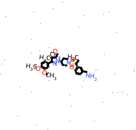 C=CC(c1cccc(CN)c1)S(=O)(=O)N1CCC(N2N=C(c3ccc(OC)c(OC)c3)C(C)(C)C2C=O)CC1